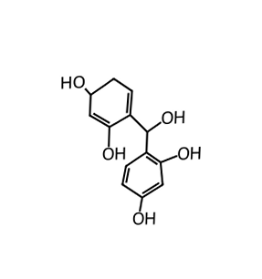 OC1=CC(O)CC=C1C(O)c1ccc(O)cc1O